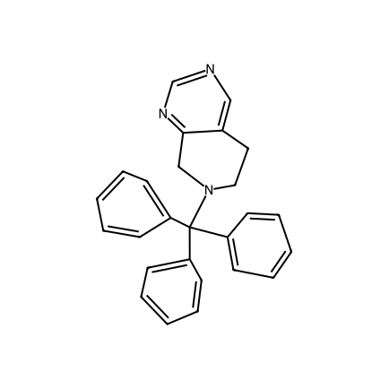 c1ccc(C(c2ccccc2)(c2ccccc2)N2CCc3cncnc3C2)cc1